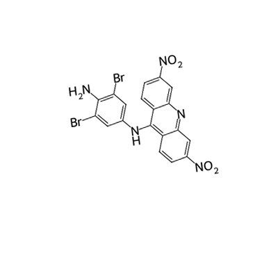 Nc1c(Br)cc(Nc2c3ccc([N+](=O)[O-])cc3nc3cc([N+](=O)[O-])ccc23)cc1Br